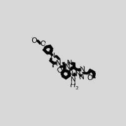 COCCOc1ccc(N2CCN(C(=O)C(C)(c3ccccc3)n3ncc4c3nc(N)n3nc(-c5ccco5)nc43)[C@@H](C)C2)cc1